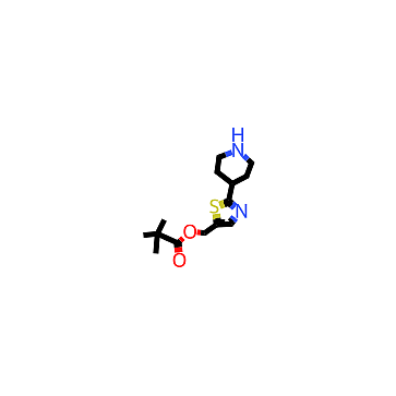 CC(C)(C)C(=O)OCc1cnc(C2CCNCC2)s1